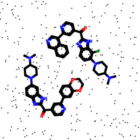 CN(C)C1CCN(c2ccc3nc(C(=O)c4ccnc(-c5ccc6c(c5)OCCO6)c4)[nH]c3c2)CC1.CN(C)C1CCN(c2ccc3nc(C(=O)c4ccnc(-c5cncc6ccccc56)c4)[nH]c3c2F)CC1